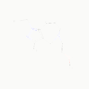 CCn1nc(C)c2c1CCCN(CCOC)C2